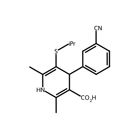 CC1=C(SC(C)C)C(c2cccc(C#N)c2)C(C(=O)O)=C(C)N1